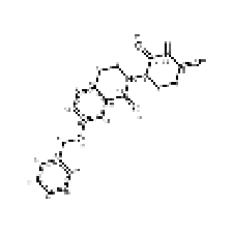 O=C1CCC(N2CCc3ccc(OCc4ccccc4)cc3C2=O)C(=O)N1